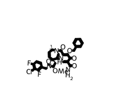 COC1C[C@]2(C=C[C@H](C)N3C[C@H]2n2cc(C(N)=O)c(=O)c(OCc4ccccc4)c2C3=O)ON1Cc1ccc(F)c(Cl)c1F